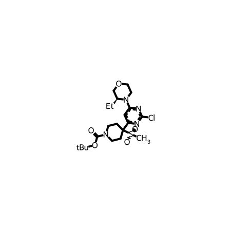 CC[C@H]1COCCN1c1cc(C2(S(C)(=O)=O)CCN(C(=O)OC(C)(C)C)CC2)nc(Cl)n1